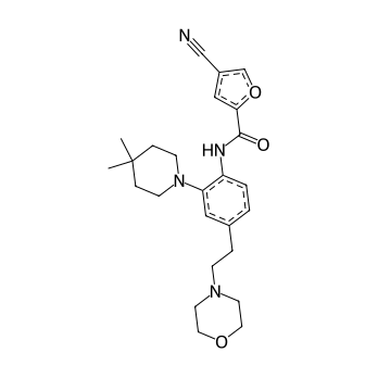 CC1(C)CCN(c2cc(CCN3CCOCC3)ccc2NC(=O)c2cc(C#N)co2)CC1